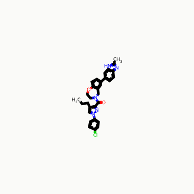 CCCc1cn(-c2ccc(Cl)cc2)nc1C(=O)N1CCOc2ccc(-c3ccc4nc(C)[nH]c4c3)cc2C1